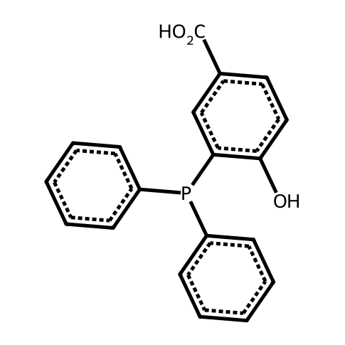 O=C(O)c1ccc(O)c(P(c2ccccc2)c2ccccc2)c1